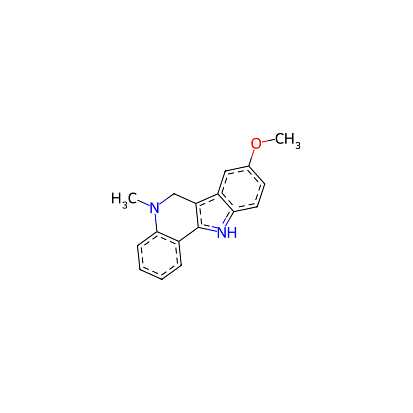 COc1ccc2[nH]c3c(c2c1)CN(C)c1ccccc1-3